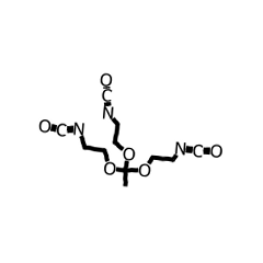 CC(OCCN=C=O)(OCCN=C=O)OCCN=C=O